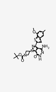 COc1cc(C)cc2cc(-c3nn(C4CN(C(=O)OC(C)(C)C)C4)c4c(=O)[nH]nc(N)c34)sc12